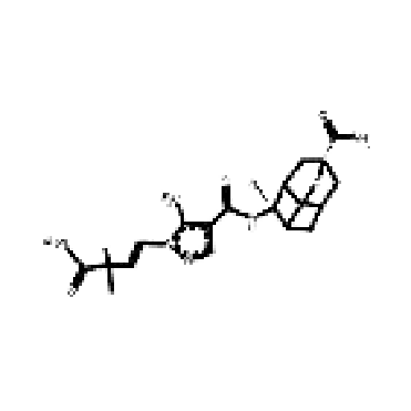 CNC(=O)C(C)(C)/C=C/n1ncc(C(=O)N[C@H]2C3CC4CC2C[C@](C(N)=O)(C4)C3)c1C(F)(F)F